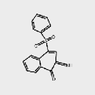 N=C1C=C(S(=O)(=O)c2ccccc2)c2ccccc2C1=O